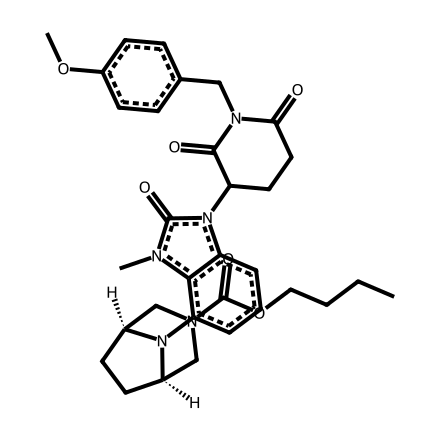 CCCCOC(=O)N1C[C@H]2CC[C@@H](C1)N2c1cccc2c1n(C)c(=O)n2C1CCC(=O)N(Cc2ccc(OC)cc2)C1=O